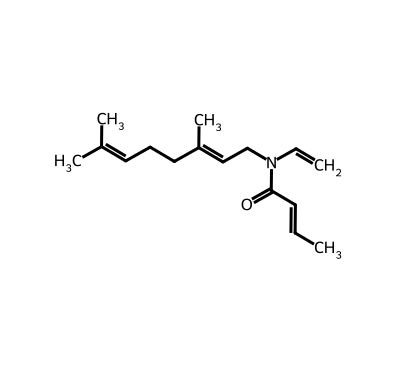 C=CN(C/C=C(\C)CCC=C(C)C)C(=O)/C=C/C